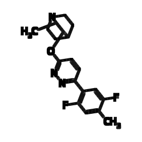 Cc1cc(F)c(-c2ccc(OC3C4CCN(CC4)C3C)nn2)cc1F